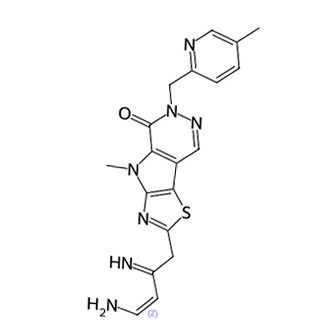 Cc1ccc(Cn2ncc3c4sc(CC(=N)/C=C\N)nc4n(C)c3c2=O)nc1